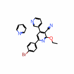 CCOc1nc(-c2ccc(Br)cc2)cc(-c2cccnc2)c1C#N.c1ccncc1